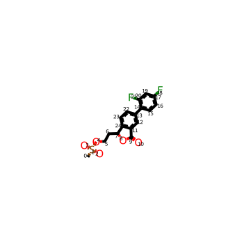 CS(=O)(=O)OCCC1OC(=O)c2cc(-c3ccc(F)cc3F)ccc21